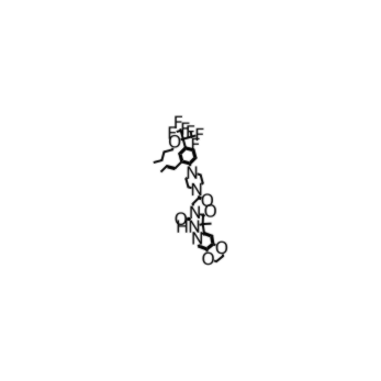 CC=Cc1cc(C(OCCCC)(C(F)(F)F)C(F)(F)F)ccc1N1CCN(C(=O)CN2C(=O)NC(C)(c3cc4c(cn3)OCCO4)C2=O)CC1